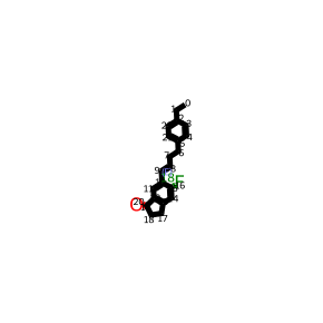 CCc1ccc(CC/C=C/c2cc3c(cc2[18F])CCC3=O)cc1